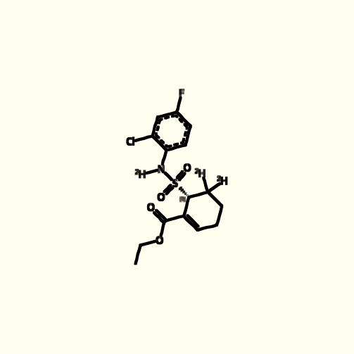 [2H]N(c1ccc(F)cc1Cl)S(=O)(=O)[C@H]1C(C(=O)OCC)=CCCC1([2H])[2H]